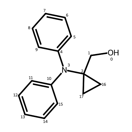 OCC1(N(c2ccccc2)c2ccccc2)CC1